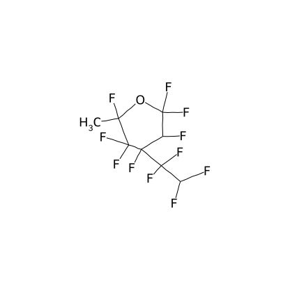 CC1(F)OC(F)(F)C(F)C(F)(C(F)(F)C(F)F)C1(F)F